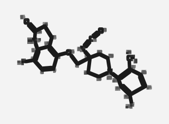 O=C=NC1(COc2ccc(F)c3c2CCC(=O)N3)CCN(c2cc(F)ccc2C(F)(F)F)CC1